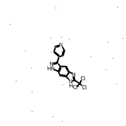 ClC(Cl)(Cl)c1nc2cc3c(-c4ccncc4)n[nH]c3cc2[nH]1